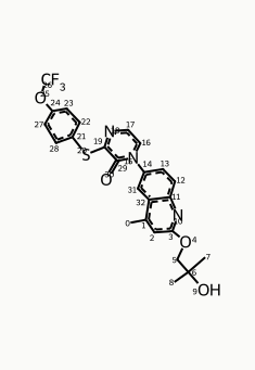 Cc1cc(OCC(C)(C)O)nc2ccc(-n3ccnc(Sc4ccc(OC(F)(F)F)cc4)c3=O)cc12